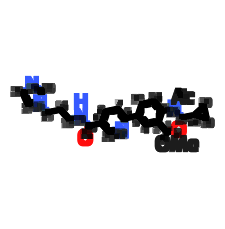 COC(=O)c1cc(-c2ccc(C(=O)NCCCn3ccnc3)cn2)ccc1N(CC1CC1)C(C)=O